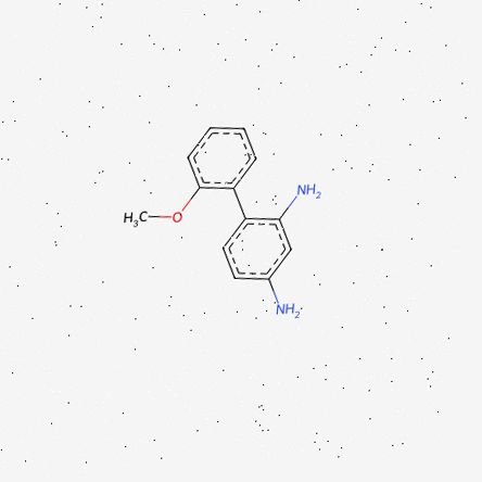 COc1ccccc1-c1ccc(N)cc1N